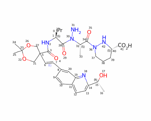 CC(C)[C@H](NC(=O)C1(/C=C/c2ccc3ccc([C@@H](C)O)nc3c2)COC(C)(C)OC1)C(=O)N(N)[C@@H](C)C(=O)N1CCC[C@@H](C(=O)O)N1